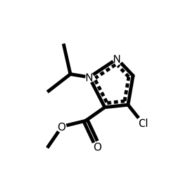 COC(=O)c1c(Cl)cnn1C(C)C